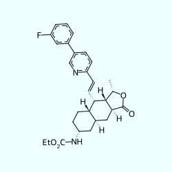 CCOC(=O)N[C@@H]1CC[C@H]2[C@H](C1)C[C@@H]1C(=O)O[C@@H](C)[C@H]1[C@H]2/C=C/c1ccc(-c2cccc(F)c2)cn1